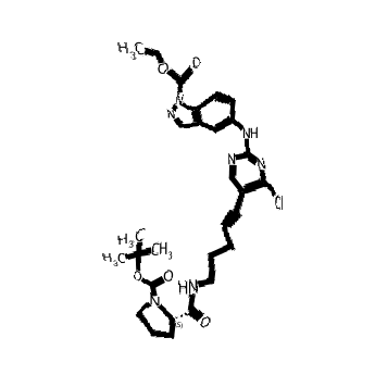 CCOC(=O)n1ncc2cc(Nc3ncc(C#CCCCNC(=O)[C@@H]4CCCN4C(=O)OC(C)(C)C)c(Cl)n3)ccc21